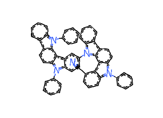 N#Cc1cccc2c1c1c(ccc3c4ccccc4n(-c4ccc5c(c4)c4c(ccc6c7ccccc7n(-c7ccccc7)c64)n5-c4ccccc4)c31)n2-c1ccccc1